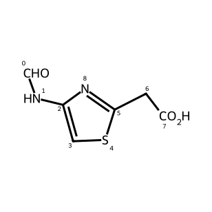 O=CNc1csc(CC(=O)O)n1